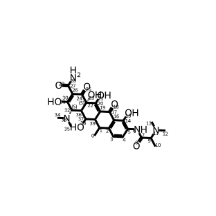 CC1c2ccc(NC(=O)C(C)N(C)C)c(O)c2C(=O)C2=C(O)[C@]3(O)C(=O)C(C(N)=O)=C(O)[C@@H](N(C)C)C3C(O)C21